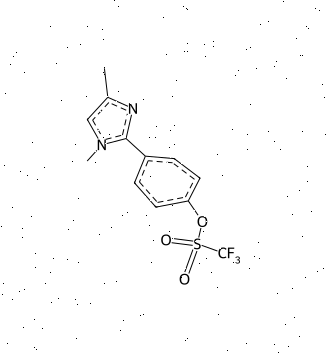 Cc1cn(C)c(-c2ccc(OS(=O)(=O)C(F)(F)F)cc2)n1